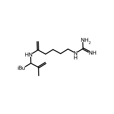 C=C(CCCCNC(=N)N)NC(C(=C)C)C(C)CC